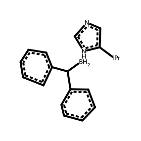 BC(c1ccccc1)c1ccccc1.CC(C)c1cnc[nH]1